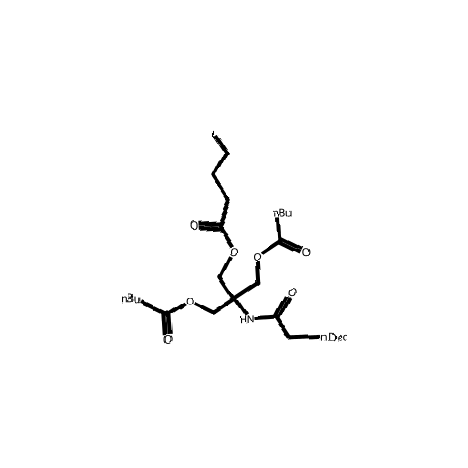 CCCCCCCCCCCC(=O)NC(COC(=O)CCCC)(COC(=O)CCCC)COC(=O)CCCI